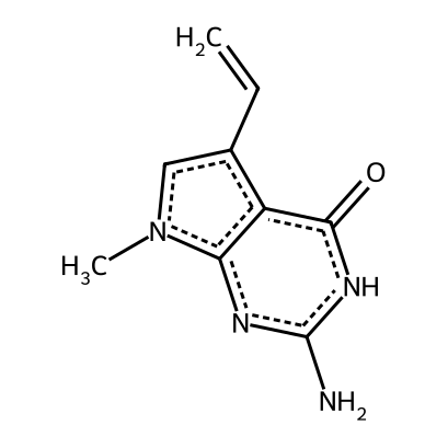 C=Cc1cn(C)c2nc(N)[nH]c(=O)c12